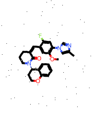 COc1cc(C=C2CCCN([C@H]3CCOc4ccccc43)C2=O)c(F)cc1-n1cnc(C)c1